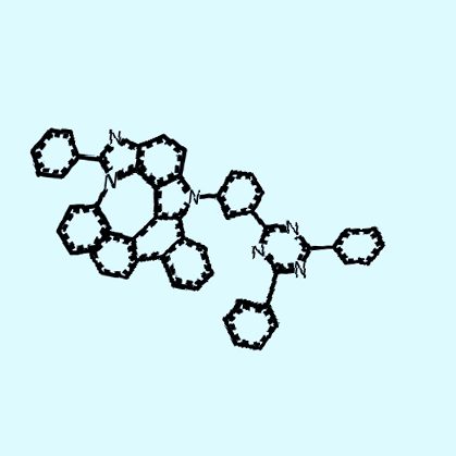 c1ccc(-c2nc(-c3ccccc3)nc(-c3cccc(-n4c5ccc6nc(-c7ccccc7)n(-c7ccccc7)c6c5c5c6ccccc6c6ccccc6c54)c3)n2)cc1